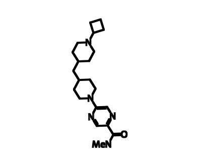 CNC(=O)c1cnc(N2CCC(CC3CCN(C4CCC4)CC3)CC2)cn1